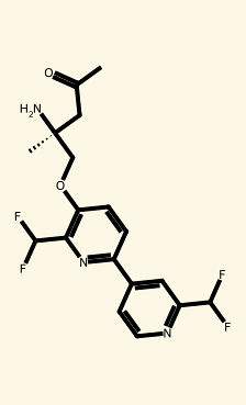 CC(=O)C[C@](C)(N)COc1ccc(-c2ccnc(C(F)F)c2)nc1C(F)F